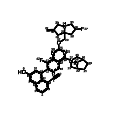 C#Cc1cccc2cc(O)cc(-c3ncc4c(N5CC6CCC(C5)N6)nc(OCC56CC(=C)CN5CC(F)C6)nc4c3F)c12